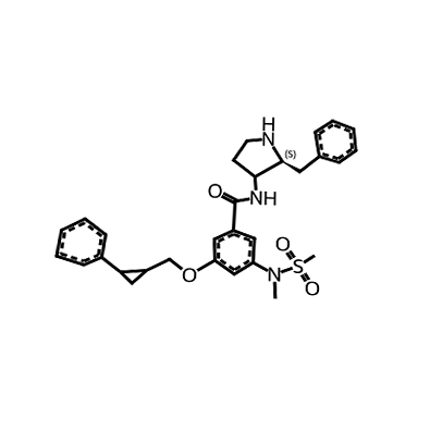 CN(c1cc(OCC2CC2c2ccccc2)cc(C(=O)NC2CCN[C@H]2Cc2ccccc2)c1)S(C)(=O)=O